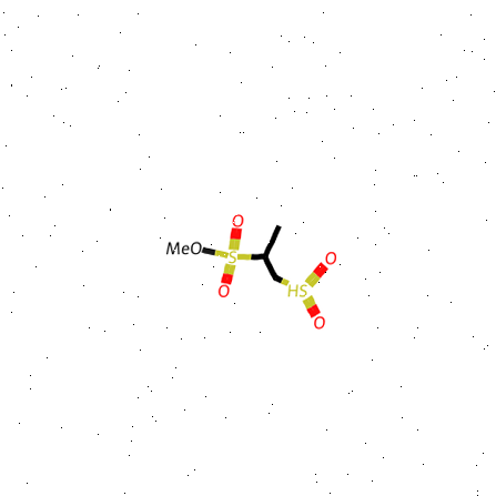 COS(=O)(=O)C(C)C[SH](=O)=O